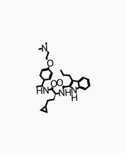 CCCc1c(C(=O)N[C@@H](CCC2CC2)C(=O)NC(C)C2C=CC(OCCN(C)C)=CC2)[nH]c2ccccc12